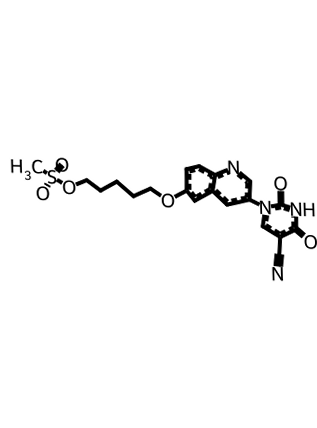 CS(=O)(=O)OCCCCCOc1ccc2ncc(-n3cc(C#N)c(=O)[nH]c3=O)cc2c1